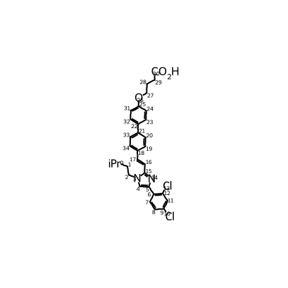 CC(C)CCn1cc(-c2ccc(Cl)cc2Cl)nc1/C=C/c1ccc(-c2ccc(OCCCC(=O)O)cc2)cc1